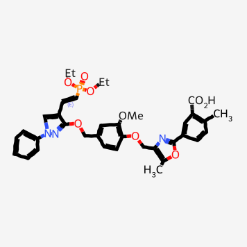 CCOP(=O)(/C=C/c1cn(-c2ccccc2)nc1OCc1ccc(OCc2nc(-c3ccc(C)c(C(=O)O)c3)oc2C)c(OC)c1)OCC